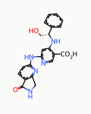 O=C(O)c1cnc(Nc2ccc3c(n2)CNC3=O)cc1N[C@H](CO)c1ccccc1